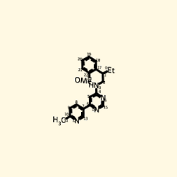 CCC(CNc1cc(-c2ccc(C)nc2)ncn1)c1ccccc1OC